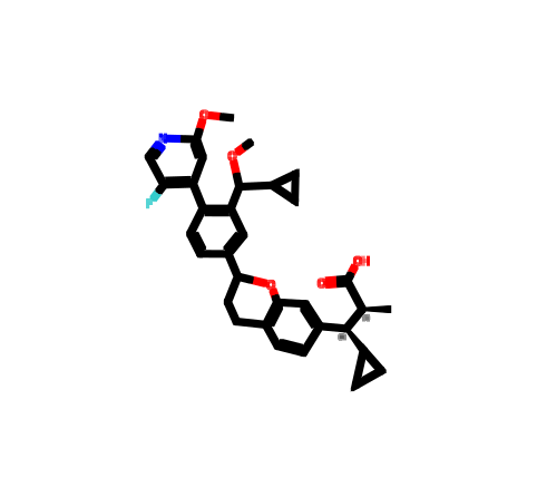 COc1cc(-c2ccc(C3CCc4ccc([C@H](C5CC5)[C@H](C)C(=O)O)cc4O3)cc2C(OC)C2CC2)c(F)cn1